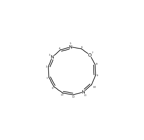 C1=CC=NC=NCOC=CC=NC=C1